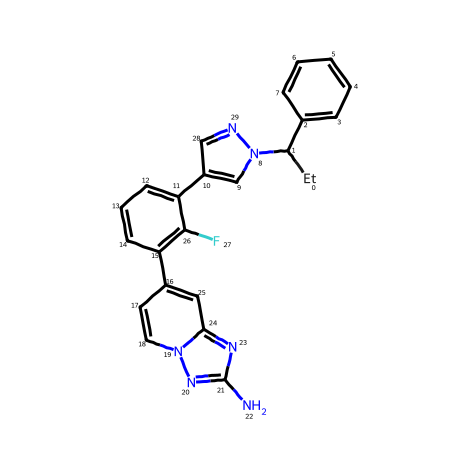 CCC(c1ccccc1)n1cc(-c2cccc(-c3ccn4nc(N)nc4c3)c2F)cn1